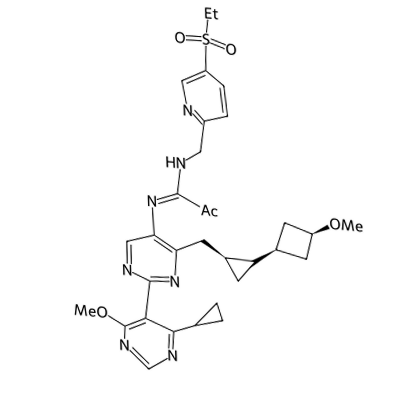 CCS(=O)(=O)c1ccc(CN/C(=N/c2cnc(-c3c(OC)ncnc3C3CC3)nc2C[C@@H]2CC2[C@H]2C[C@@H](OC)C2)C(C)=O)nc1